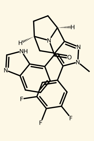 Cn1nc2c(c1-c1cc(F)c(F)c(F)c1)C[C@H]1CC[C@@H]2N1C(=O)c1cccc2nc[nH]c12